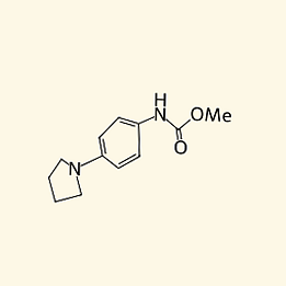 COC(=O)Nc1ccc(N2CCCC2)cc1